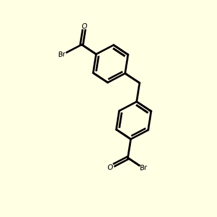 O=C(Br)c1ccc(Cc2ccc(C(=O)Br)cc2)cc1